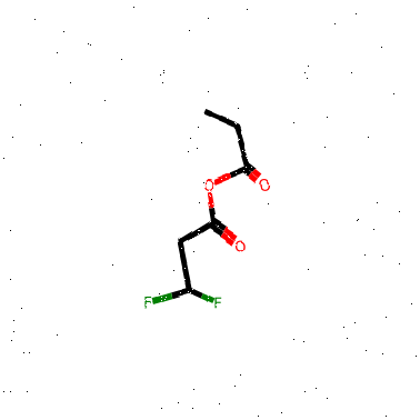 CCC(=O)OC(=O)CC(F)F